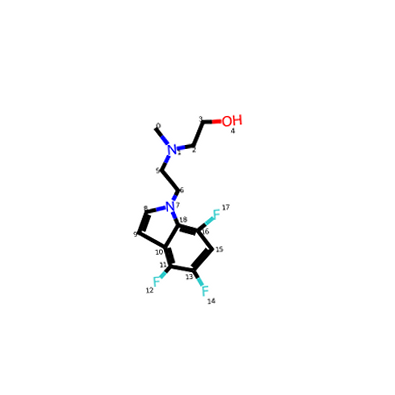 CN(CCO)CCn1ccc2c(F)c(F)cc(F)c21